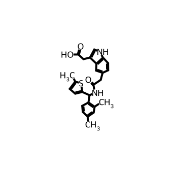 Cc1ccc(C(NC(=O)Cc2ccc3[nH]cc(CC(=O)O)c3c2)c2ccc(C)s2)c(C)c1